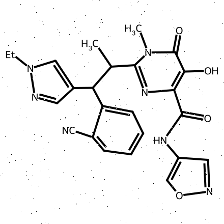 CCn1cc(C(c2ccccc2C#N)C(C)c2nc(C(=O)Nc3cnoc3)c(O)c(=O)n2C)cn1